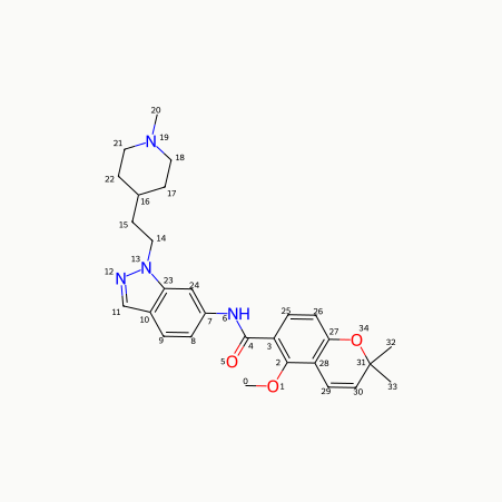 COc1c(C(=O)Nc2ccc3cnn(CCC4CCN(C)CC4)c3c2)ccc2c1C=CC(C)(C)O2